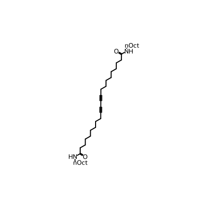 CCCCCCCCNC(=O)CCCCCCCCC#CC#CCCCCCCCCC(=O)NCCCCCCCC